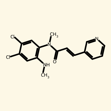 CNc1cc(Cl)c(Cl)cc1N(C)C(=O)/C=C/c1cccnc1